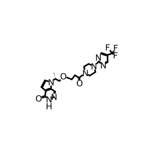 C[C@H](COCCC(=O)N1CCN(c2ncc(C(F)(F)F)cn2)CC1)n1ccc2c(=O)[nH]ncc21